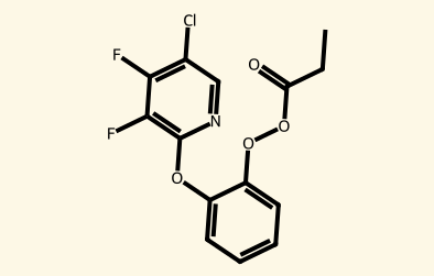 CCC(=O)OOc1ccccc1Oc1ncc(Cl)c(F)c1F